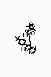 Cc1noc(C)c1S(=O)(=O)NCCCc1c(-c2ccc(C(C)(C)C)cc2)[nH]c2nccnc12